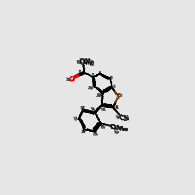 COC(=O)c1ccc2sc(C#N)c(-c3ccccc3OC)c2c1